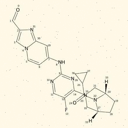 O=Cc1cn2ccc(Nc3ncc(F)c(N4C[C@H]5CC[C@@H](C4)N5C(=O)C4CC4)n3)cc2n1